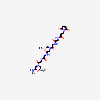 CCNC(=O)CN(CC(=O)O)C(=O)CNC(=O)CNC(=O)CN(CC(=O)O)C(=O)CNC(=O)CNC(=O)CCN1C(=O)C=CC1=O